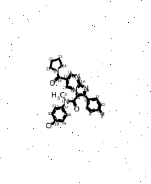 CN(C(=O)c1c(-c2ccc(F)cc2)nc2ncc(C(=O)N3CCCC3)cn12)c1ccc(Cl)cc1